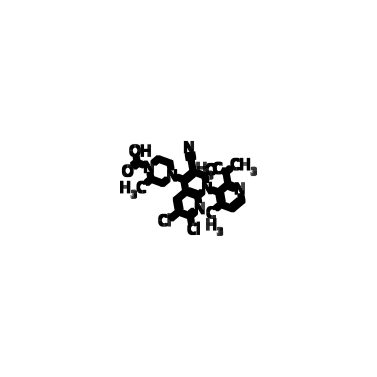 Cc1ccnc(C(C)C)c1-n1c(=O)c(C#N)c(N2CCN(C(=O)O)C(C)C2)c2cc(Cl)c(Cl)nc21